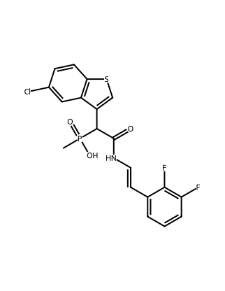 CP(=O)(O)C(C(=O)NC=Cc1cccc(F)c1F)c1csc2ccc(Cl)cc12